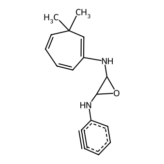 CC1(C)C=CC=CC(NC2OC2Nc2c#cccc2)=C1